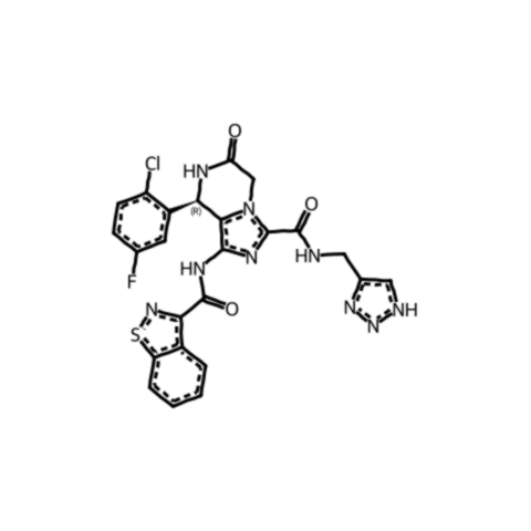 O=C1Cn2c(C(=O)NCc3c[nH]nn3)nc(NC(=O)c3nsc4ccccc34)c2[C@@H](c2cc(F)ccc2Cl)N1